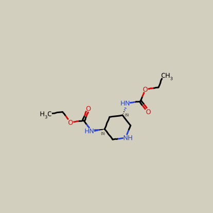 CCOC(=O)N[C@@H]1CNC[C@@H](NC(=O)OCC)C1